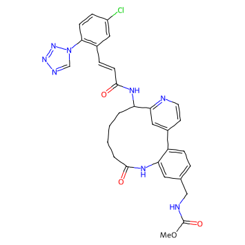 COC(=O)NCc1ccc2c(c1)NC(=O)CCCCC(NC(=O)/C=C/c1cc(Cl)ccc1-n1cnnn1)c1cc-2ccn1